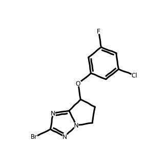 Fc1cc(Cl)cc(OC2CCn3nc(Br)nc32)c1